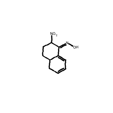 O=[N+]([O-])C1CCC2CC=CC=C2C1=NO